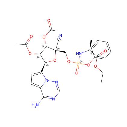 CCOC(=O)[C@H](C)N[P@](=O)(OC[C@@]1(C#N)O[C@@H](c2ccc3c(N)ncnn23)[C@H](OC(C)=O)[C@@H]1OC(C)=O)Oc1ccccc1